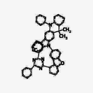 CC1(C)c2ccccc2N(c2ccccc2)c2cc3c4ccccc4n(-c4ccc5oc6cccc(-c7nc(-c8ccccc8)nc(-c8ccccc8)n7)c6c5c4)c3cc21